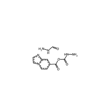 NNC(=O)OC(=O)c1ccn2ccnc2c1.NNC=O